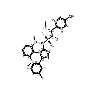 COc1cccc(OC)c1-n1c(NS(=O)(=O)[C@@H](C)[C@H](OC)c2ncc(Cl)cn2)nnc1-c1cncc(C)n1